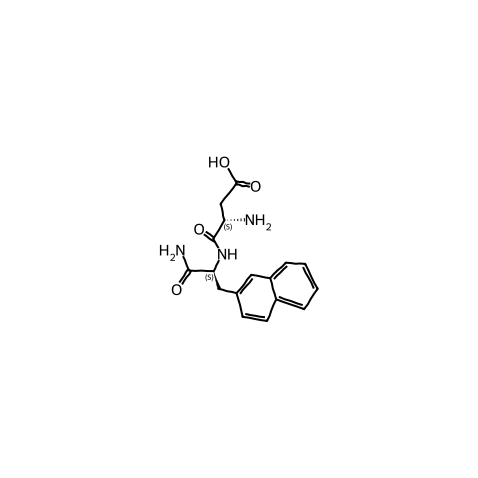 NC(=O)[C@H](Cc1ccc2ccccc2c1)NC(=O)[C@@H](N)CC(=O)O